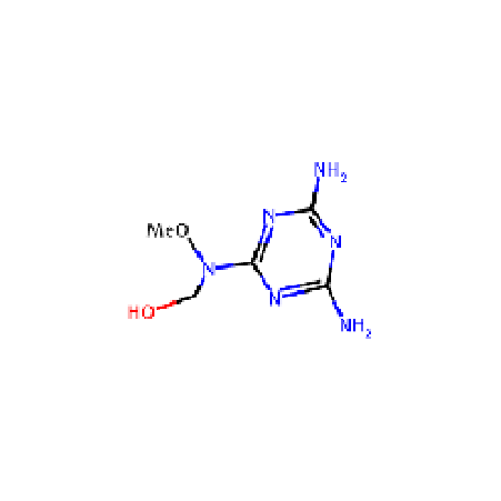 CON(CO)c1nc(N)nc(N)n1